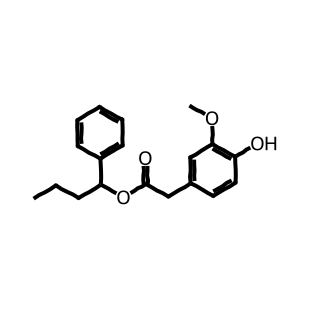 CCCC(OC(=O)Cc1ccc(O)c(OC)c1)c1ccccc1